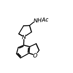 CC(=O)NC1CCN(c2cccc3c2CCO3)C1